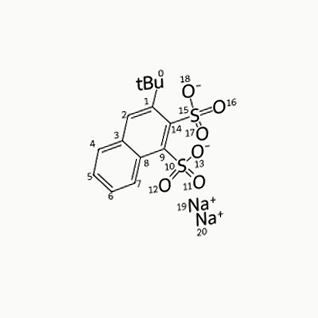 CC(C)(C)c1cc2ccccc2c(S(=O)(=O)[O-])c1S(=O)(=O)[O-].[Na+].[Na+]